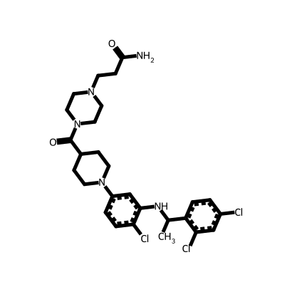 CC(Nc1cc(N2CCC(C(=O)N3CCN(CCC(N)=O)CC3)CC2)ccc1Cl)c1ccc(Cl)cc1Cl